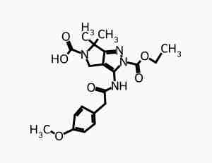 CCOC(=O)n1nc2c(c1NC(=O)Cc1ccc(OC)cc1)CN(C(=O)O)C2(C)C